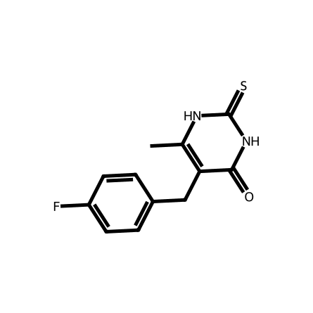 Cc1[nH]c(=S)[nH]c(=O)c1Cc1ccc(F)cc1